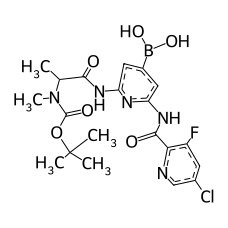 CC(C(=O)Nc1cc(B(O)O)cc(NC(=O)c2ncc(Cl)cc2F)n1)N(C)C(=O)OC(C)(C)C